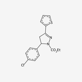 CCOC(=O)N1N=C(c2cccs2)CC1c1ccc(Cl)cc1